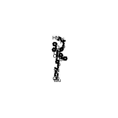 Cc1sc(N2CCNCC2)nc1CCOc1ccc(C[C@H](Nc2ccccc2C(=O)c2ccccc2)C(=O)OC(=O)[C@H](Cc2ccc(OCCc3nc(N4CCN(C(=O)OC(C)(C)C)CC4)sc3C)cc2)Nc2ccccc2C(=O)c2ccccc2)cc1